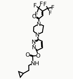 O=C(NCCC1CC1)Oc1ccc(N2CCN(C(=O)C=C(C(F)(F)F)C(F)(F)F)CC2)nn1